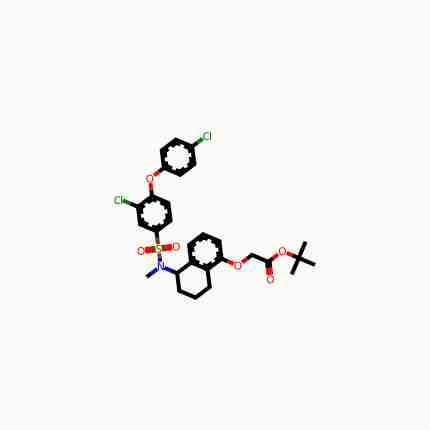 CN(C1CCCc2c(OCC(=O)OC(C)(C)C)cccc21)S(=O)(=O)c1ccc(Oc2ccc(Cl)cc2)c(Cl)c1